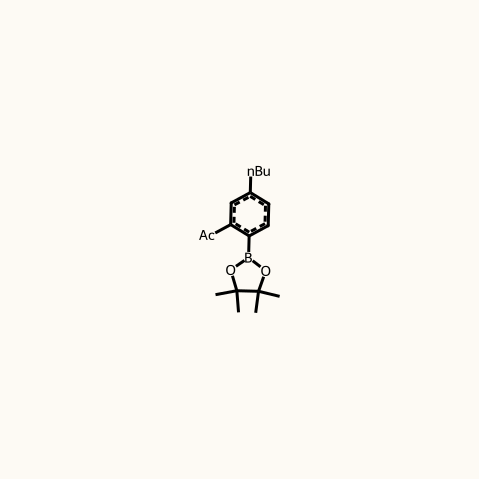 CCCCc1ccc(B2OC(C)(C)C(C)(C)O2)c(C(C)=O)c1